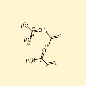 C=C(C)C.C=CC(N)=O.O=[PH](O)O